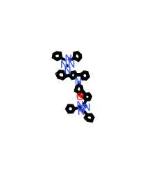 c1ccc(-c2nc(-c3ccccc3)nc(-c3cccc4c3oc3ccc(-n5c6ccccc6c6cc7c(cc65)c5ccccc5n7-c5nc(-c6ccccc6)nc(-c6ccccc6)n5)cc34)n2)cc1